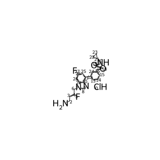 Cl.NC/C=C(\F)Cn1cnc2c(-c3cccc(S(=O)(=O)NC4CC4)c3)cc(F)cc21